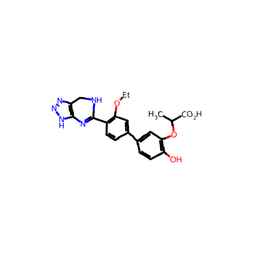 CCOc1cc(-c2ccc(O)c(OC(C)C(=O)O)c2)ccc1C1=Nc2[nH]nnc2CN1